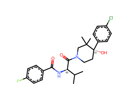 CC(C)[C@@H](NC(=O)c1ccc(F)cc1)C(=O)N1CC[C@](O)(c2ccc(Cl)cc2)C(C)(C)C1